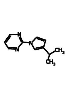 CC(C)c1ccn(-c2ncccn2)c1